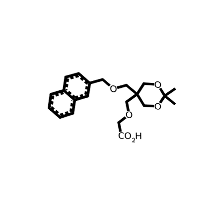 CC1(C)OCC(COCC(=O)O)(COCc2ccc3ccccc3c2)CO1